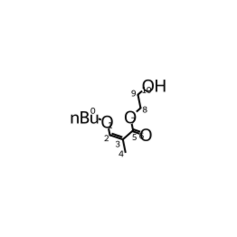 CCCCOC=C(C)C(=O)OCCO